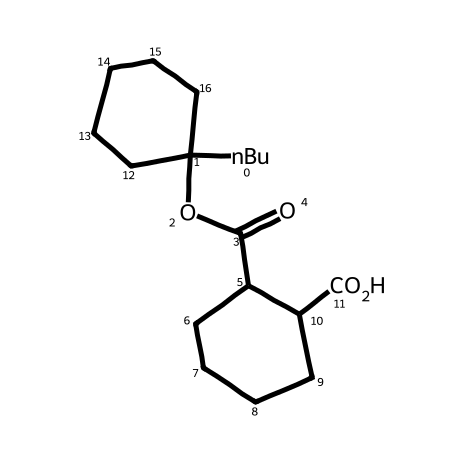 CCCCC1(OC(=O)C2CCCCC2C(=O)O)CCCCC1